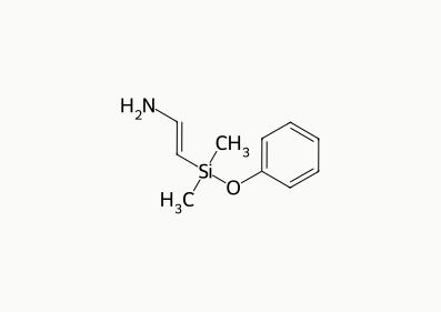 C[Si](C)(C=CN)Oc1ccccc1